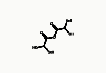 O=C(OC(=O)C(O)[SeH])C(O)[SeH]